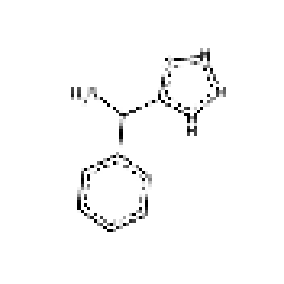 NC(c1ccccc1)c1nnn[nH]1